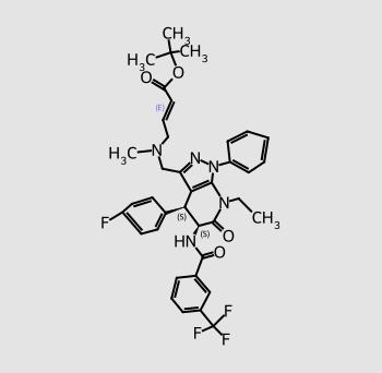 CCN1C(=O)[C@@H](NC(=O)c2cccc(C(F)(F)F)c2)[C@@H](c2ccc(F)cc2)c2c(CN(C)C/C=C/C(=O)OC(C)(C)C)nn(-c3ccccc3)c21